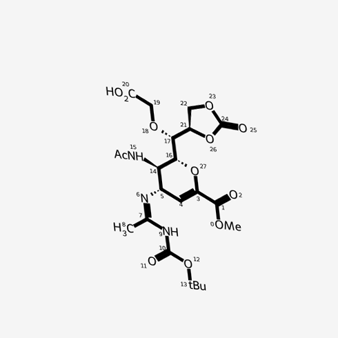 COC(=O)C1=C[C@H](/N=C(/C)NC(=O)OC(C)(C)C)[C@@H](NC(C)=O)[C@H]([C@H](OCC(=O)O)[C@H]2COC(=O)O2)O1